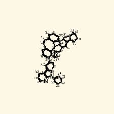 C1=Cc2ccc(-c3ccc4c(c3)c3cccnc3n4-c3ccccn3)cc2C2(c3ccccc31)c1ccccc1-c1cc3c(cc12)sc1ccccc13